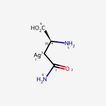 NC(=O)C[C@H](N)C(=O)O.[Ag]